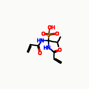 C=CC(=O)NC(NC(=O)C=C)(C(C)C)S(=O)(=O)O